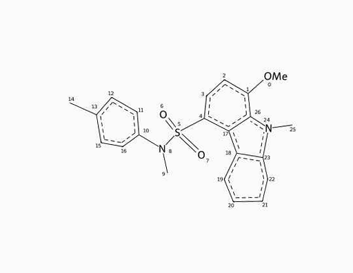 COc1ccc(S(=O)(=O)N(C)c2ccc(C)cc2)c2c3ccccc3n(C)c12